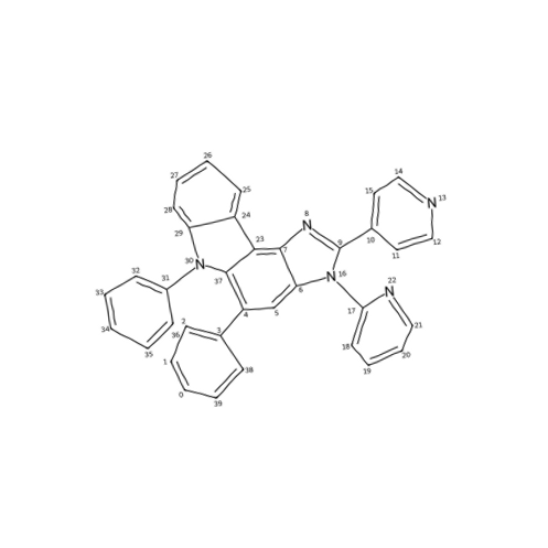 c1ccc(-c2cc3c(nc(-c4ccncc4)n3-c3ccccn3)c3c4ccccc4n(-c4ccccc4)c23)cc1